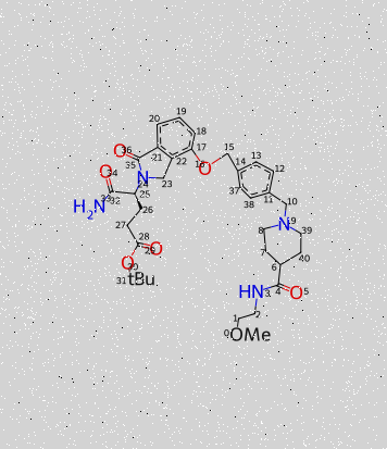 COCCNC(=O)C1CCN(Cc2ccc(COc3cccc4c3CN([C@@H](CCC(=O)OC(C)(C)C)C(N)=O)C4=O)cc2)CC1